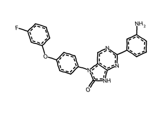 Nc1cccc(-c2ncc3c(n2)[nH]c(=O)n3-c2ccc(Oc3cccc(F)c3)cc2)c1